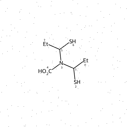 CCC(S)N(C(=O)O)C(S)CC